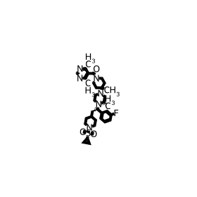 Cc1ncnc(C)c1C(=O)N1CCC(C)(N2CCN([C@H](CC3CCN(S(=O)(=O)C4CC4)CC3)c3cccc(F)c3)[C@@H](C)C2)CC1